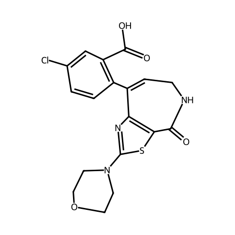 O=C(O)c1cc(Cl)ccc1C1=CCNC(=O)c2sc(N3CCOCC3)nc21